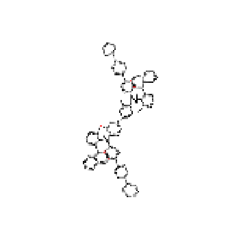 Cc1cc(-c2ccc(N(c3ccc(-c4ccc(-c5ccccc5)cc4)cc3)c3c(C)cccc3-c3cccc4ccccc34)c(C)c2)ccc1N(c1ccc(-c2ccc(-c3ccccc3)cc2)cc1)c1c(C)cccc1-c1cccc2ccccc12